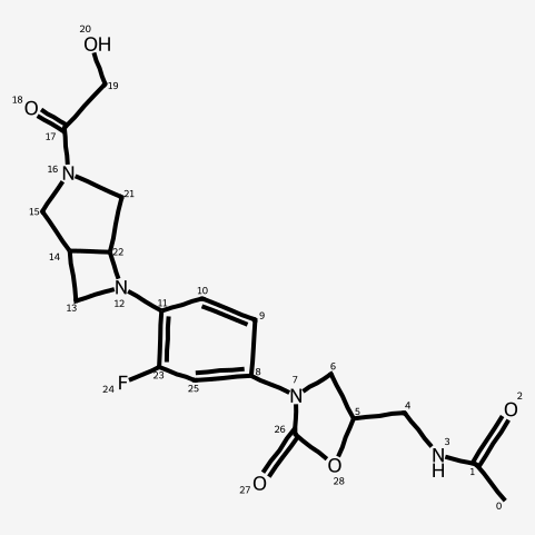 CC(=O)NCC1CN(c2ccc(N3CC4CN(C(=O)CO)CC43)c(F)c2)C(=O)O1